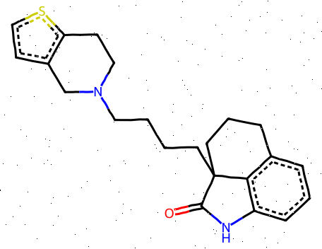 O=C1Nc2cccc3c2C1(CCCCN1CCc2sccc2C1)CCC3